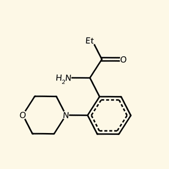 CCC(=O)C(N)c1ccccc1N1CCOCC1